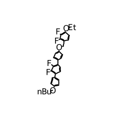 CCCCOc1ccc(-c2ccc(-c3ccc(OCc4ccc(OCC)c(F)c4F)cc3)c(F)c2F)cc1